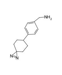 NCc1ccc(C2CCC3(CC2)N=N3)cc1